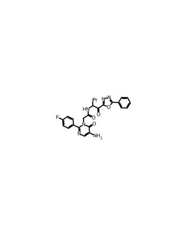 CC(C)C(NC(=O)Cn1c(-c2ccc(F)cc2)ncc(N)c1=O)C(=O)c1nnc(-c2ccccc2)o1